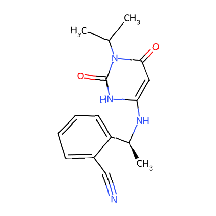 CC(C)n1c(=O)cc(N[C@@H](C)c2ccccc2C#N)[nH]c1=O